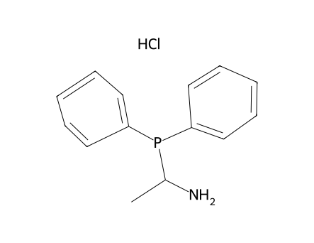 CC(N)P(c1ccccc1)c1ccccc1.Cl